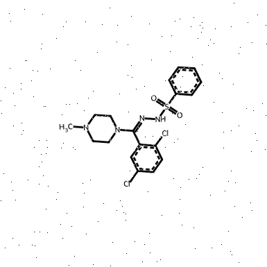 CN1CCN(C(=NNS(=O)(=O)c2ccccc2)c2cc(Cl)ccc2Cl)CC1